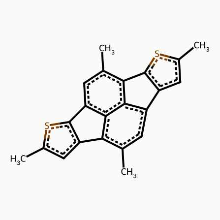 Cc1cc2c(s1)-c1cc(C)c3c4c(cc(C)c-2c14)-c1cc(C)sc1-3